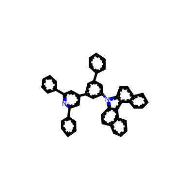 c1ccc(-c2cc(-c3cc(-c4ccccc4)nc(-c4ccccc4)c3)cc(-n3c4ccc5ccccc5c4c4c5ccccc5ccc43)c2)cc1